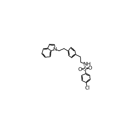 O=S(=O)(NCCc1ccc(CCn2ccc3ccccc32)cc1)c1ccc(Cl)cc1